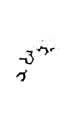 Nc1nc(C(=NO)C(=O)N[C@@H]2C(=O)N3C(C(=O)O)=C(SCc4ccncc4)CC[C@H]23)c(Cl)s1